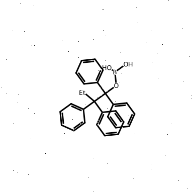 CCC(c1ccccc1)(c1ccccc1)C(OB(O)O)(c1ccccc1)c1ccccc1